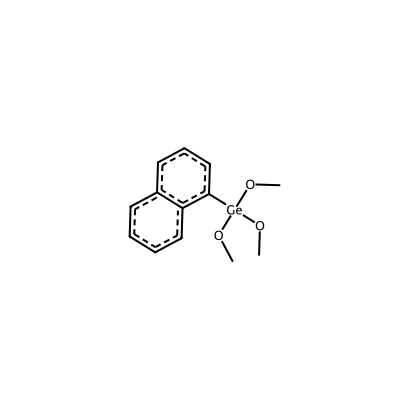 C[O][Ge]([O]C)([O]C)[c]1cccc2ccccc12